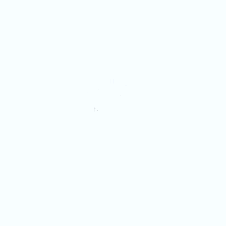 CCCC(C)(F)CC(N=C(c1ccccc1)c1ccccc1)C(=O)O